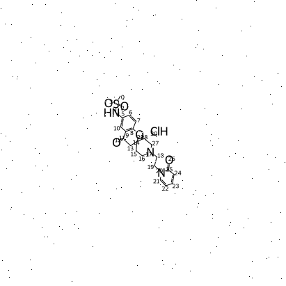 CS(=O)(=O)Nc1ccc2c(c1)C(=O)CC1(CCN(CCn3ccccc3=O)CC1)O2.Cl